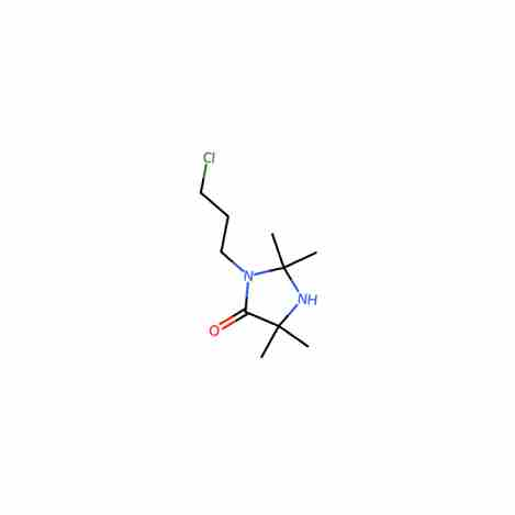 CC1(C)NC(C)(C)N(CCCCl)C1=O